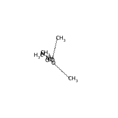 CCCCCCCCC=CCCCCCCCCOCC(COC(=O)NCCCCN(C)C)OCCCCCCCCC=CCCCCCCCC